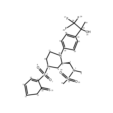 CN(C[C@H]1CN(S(=O)(=O)C2=CC=CCC2=S)CCN1c1ccc(C(C)(O)C(F)(F)F)cc1)S(C)(=O)=O